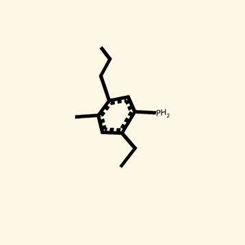 CCCc1cc(P)c(CC)cc1C